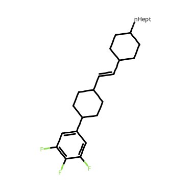 CCCCCCCC1CCC(/C=C/C2CCC(c3cc(F)c(F)c(F)c3)CC2)CC1